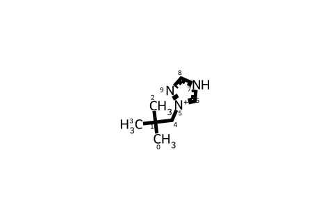 CC(C)(C)C[n+]1c[nH]cn1